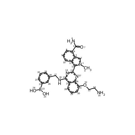 Cn1cc2c(C(N)=O)cccc2c1-c1nc(NCc2cccc(B(O)O)c2)c2cccc(OCCN)c2n1